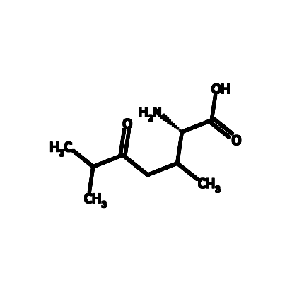 CC(C)C(=O)CC(C)[C@H](N)C(=O)O